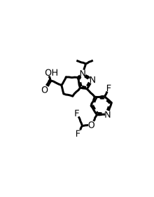 CC(C)n1nc(-c2cc(OC(F)F)ncc2F)c2c1CC(C(=O)O)CC2